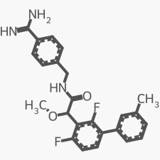 COC(C(=O)NCc1ccc(C(=N)N)cc1)c1c(F)ccc(-c2cccc(C)c2)c1F